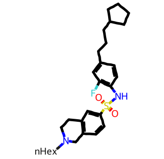 CCCCCCN1CCc2cc(S(=O)(=O)Nc3ccc(CCCC4CCCC4)cc3F)ccc2C1